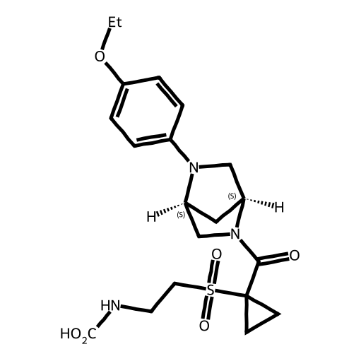 CCOc1ccc(N2C[C@@H]3C[C@H]2CN3C(=O)C2(S(=O)(=O)CCNC(=O)O)CC2)cc1